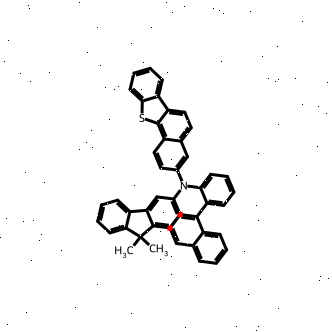 CC1(C)c2ccccc2-c2cc(N(c3ccc4c(ccc5c6ccccc6sc45)c3)c3ccccc3-c3cccc4ccccc34)ccc21